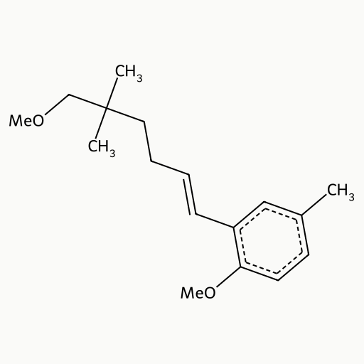 COCC(C)(C)CC/C=C/c1cc(C)ccc1OC